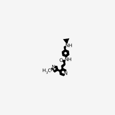 Cn1cc(-c2ccncc2/C=C/C(=O)Nc2ccc(CNC3CC3)cc2)cn1